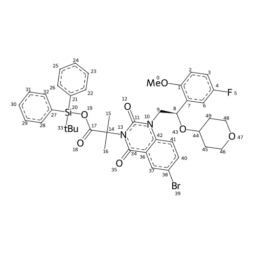 COc1ccc(F)cc1[C@H](Cn1c(=O)n(C(C)(C)C(=O)O[Si](c2ccccc2)(c2ccccc2)C(C)(C)C)c(=O)c2cc(Br)ccc21)OC1CCOCC1